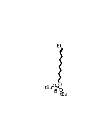 CCC=CCCCCCCCCOP(=O)(OC(C)(C)C)OC(C)(C)C